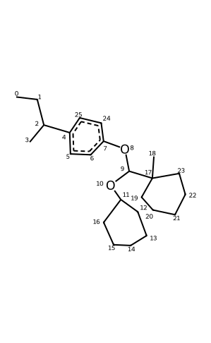 CCC(C)c1ccc(OC(OC2CCCCC2)C2(C)CCCCC2)cc1